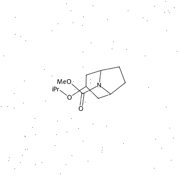 COC(=O)N1C2CCC1CC(OC(C)C)C2